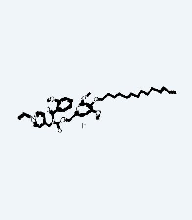 CCCCCCCCCCCCCCOc1c(OC)cc(COC(=O)N(Cc2cc[n+](CC)cc2)C(=O)c2ccccc2OC)cc1OC.[I-]